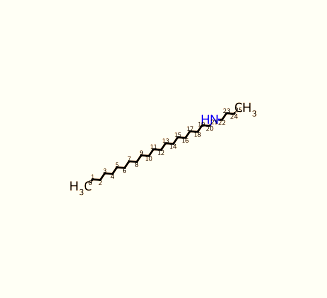 CCCCCCCCCCCCCCCCCCCCCNCCCC